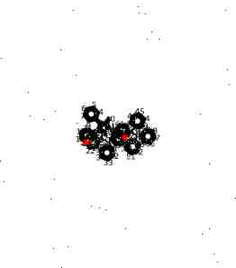 Cc1c(-c2ccccc2)c(-c2ccccc2)c([Si](c2ccccc2)(c2ccccc2)c2ccccc2)n1-c1ccc([Si](c2ccccc2)(c2ccccc2)c2ccccc2)cc1